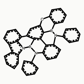 c1ccc(N2B3c4ccccc4Oc4cc5c6c(c43)-c3c2cccc3N(c2ccccc2)B6n2c3ccccc3c3cccc-5c32)cc1